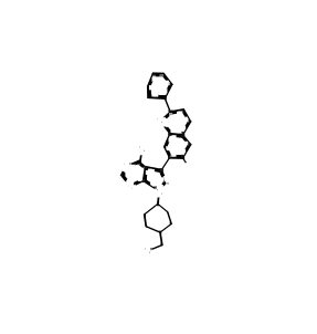 NCC1CCC(n2nc(-c3cc4nc(-c5ccccc5)ccc4cc3Cl)c3c(N)ncnc32)CC1